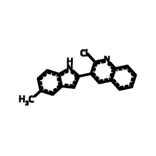 Cc1ccc2[nH]c(-c3cc4ccccc4nc3Cl)cc2c1